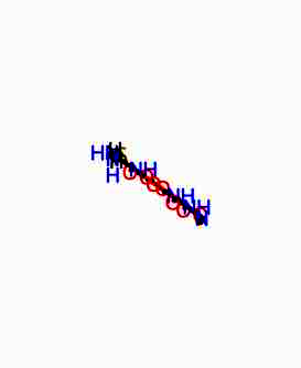 C=C1N[C@H]2[C@H](CS[C@H]2CCCCC(=O)NCCCOCCOCCOCCCNC(=O)CCCC(=O)NCCCON(C)C(C)(C)C)N1